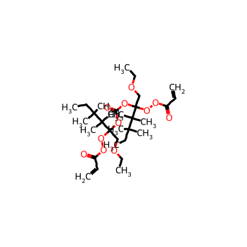 C=CC(=O)OOC(COCC)(OC(=O)OC(COCC)(OOC(=O)C=C)C(C)(C)C(C)(C)CC)C(C)(C)C(C)(C)CC